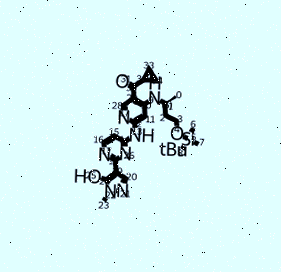 C[C@@H](CCO[Si](C)(C)C(C)(C)C)Nc1cc(Nc2ccnc(-c3cnn(C)c3O)n2)ncc1C(=O)C1CC1